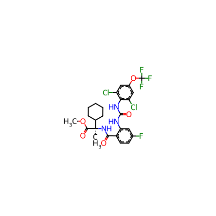 COC(=O)[C@](C)(NC(=O)c1ccc(F)cc1NC(=O)Nc1c(Cl)cc(OC(F)(F)F)cc1Cl)C1CCCCC1